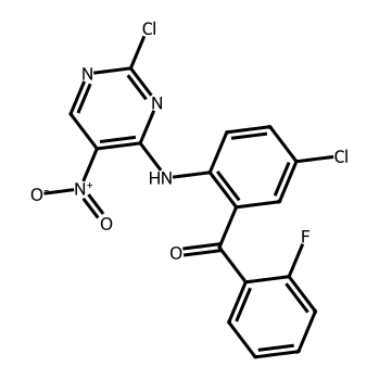 O=C(c1ccccc1F)c1cc(Cl)ccc1Nc1nc(Cl)ncc1[N+](=O)[O-]